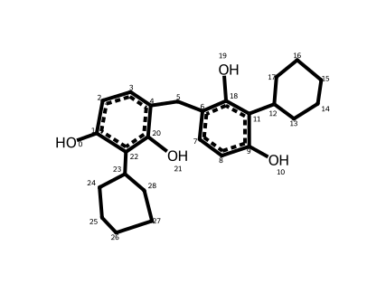 Oc1ccc(Cc2ccc(O)c(C3CCCCC3)c2O)c(O)c1C1CCCCC1